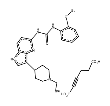 CCOc1ccccc1NC(=O)Nc1ccc2[nH]cc(C3CCN(CC(C)(C)C)CC3)c2n1.O=C(O)C#CCCC(=O)O